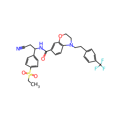 CCS(=O)(=O)c1ccc(C(CC#N)NC(=O)c2ccc3c(c2)OCCN3CCc2ccc(C(F)(F)F)cc2)cc1